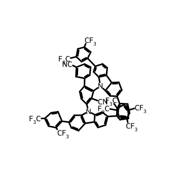 N#Cc1cccc(-c2ccc(-n3c4cc(-c5ccc(C(F)(F)F)cc5C(F)(F)F)ccc4c4ccc(-c5ccc(C(F)(F)F)cc5C(F)(F)F)cc43)c(C#N)c2-n2c3cc(-c4cc(C(F)(F)F)cc(C(F)(F)F)c4)ccc3c3ccc(-c4ccc(C(F)(F)F)cc4C(F)(F)F)cc32)c1